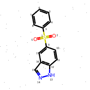 O=S(=O)(c1ccccc1)c1ccc2[nH]ncc2c1